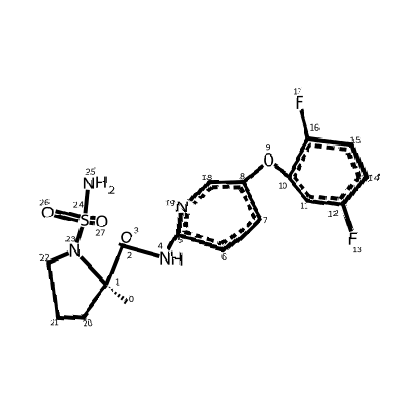 C[C@]1(C(=O)Nc2ccc(Oc3cc(F)ccc3F)cn2)CCCN1S(N)(=O)=O